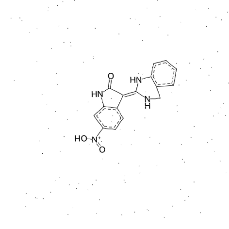 O=C1Nc2cc([N+](=O)O)ccc2/C1=C1\NCc2ccccc2N1